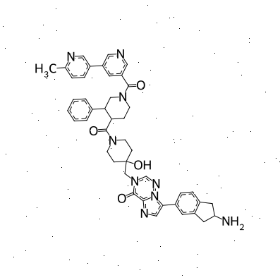 Cc1ccc(-c2cncc(C(=O)N3CCC(C(=O)N4CCC(O)(Cn5cnn6c(-c7ccc8c(c7)CC(N)C8)cnc6c5=O)CC4)C(c4ccccc4)C3)c2)cn1